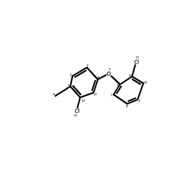 Cc1ccc(Oc2ccccc2Cl)cc1Cl